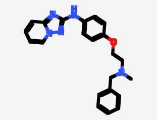 CN(CCOc1ccc(Nc2nc3ccccn3n2)cc1)Cc1ccccc1